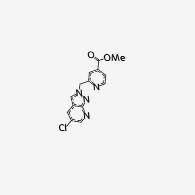 COC(=O)c1ccnc(Cn2cc3cc(Cl)cnc3n2)c1